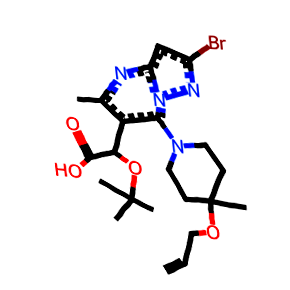 C=CCOC1(C)CCN(c2c(C(OC(C)(C)C)C(=O)O)c(C)nc3cc(Br)nn23)CC1